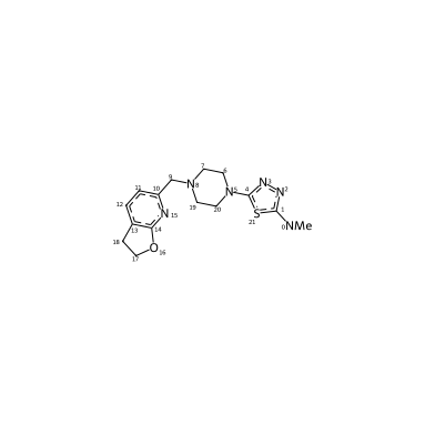 CNc1nnc(N2CCN(Cc3ccc4c(n3)OCC4)CC2)s1